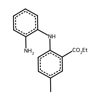 CCOC(=O)c1cc(C)ccc1Nc1ccccc1N